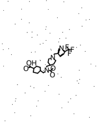 O=C(O)C1CCC(CN2CC3(CCN(Cc4ccc(C(F)(F)F)nc4)CC3)OC2=O)CC1